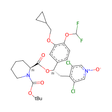 CC(C)(C)OC(=O)N1CCCC[C@H]1C(=O)O[C@@H](Cc1c(Cl)c[n+]([O-])cc1Cl)c1ccc(OC(F)F)c(OCC2CC2)c1